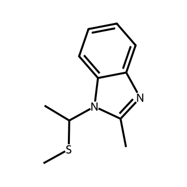 CSC(C)n1c(C)nc2ccccc21